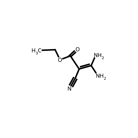 CCOC(=O)C(C#N)=C(N)N